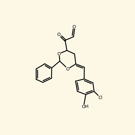 O=CC(=O)C1CC(=Cc2ccc(O)c(Cl)c2)OC(c2ccccc2)O1